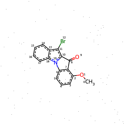 COc1cccc2c1C(=O)c1c(Br)c3ccccc3n1-2